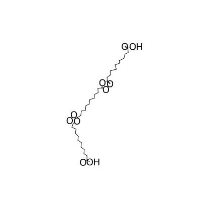 O=C(O)CCCCCCCCCCC(=O)OC(=O)CCCCCCCCCCC(=O)OC(=O)CCCCCCCCCCC(=O)O